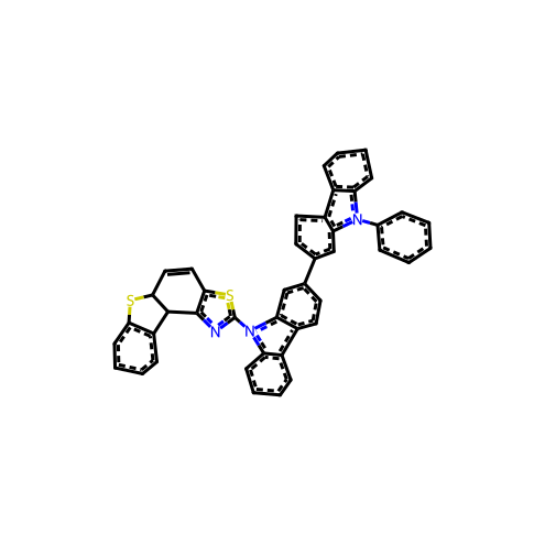 C1=CC2Sc3ccccc3C2c2nc(-n3c4ccccc4c4ccc(-c5ccc6c7ccccc7n(-c7ccccc7)c6c5)cc43)sc21